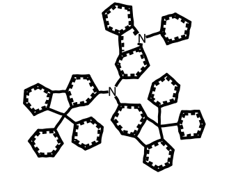 c1ccc(-n2c3ccccc3c3cc(N(c4ccc5c(c4)C(c4ccccc4)(c4ccccc4)c4ccccc4-5)c4ccc5c(c4)C(c4ccccc4)(c4ccccc4)c4ccccc4-5)ccc32)cc1